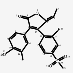 C/C=C1\OC(=O)C(c2ccc(OC)c(C)c2)=C1c1ccc(S(C)(=O)=O)cc1F